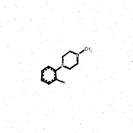 [CH2]N1CCN(c2ccccc2F)CC1